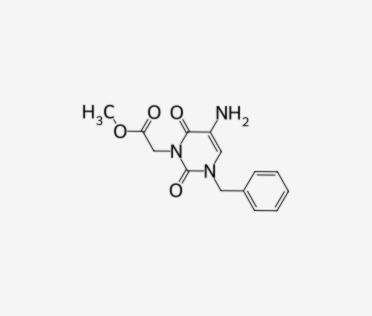 COC(=O)Cn1c(=O)c(N)cn(Cc2ccccc2)c1=O